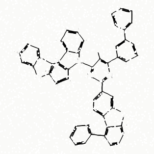 Ic1c(-c2cccc(-c3ccccc3)c2)nc(-c2ccc3c(c2)oc2cccc(-c4ccccc4)c23)nc1-n1c2ccccc2c2c3c(ccc21)oc1ccccc13